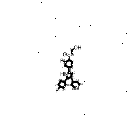 [O-][S+](CCO)c1ccc(-c2cc(-c3ccncc3)c(-c3ccc(F)cc3)[nH]2)cc1F